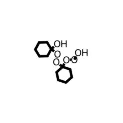 OOOC1(OOC2(O)CCCCC2)CCCCC1